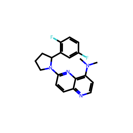 CN(C)c1ccnc2ccc(N3CCCC3c3cc(F)ccc3F)nc12